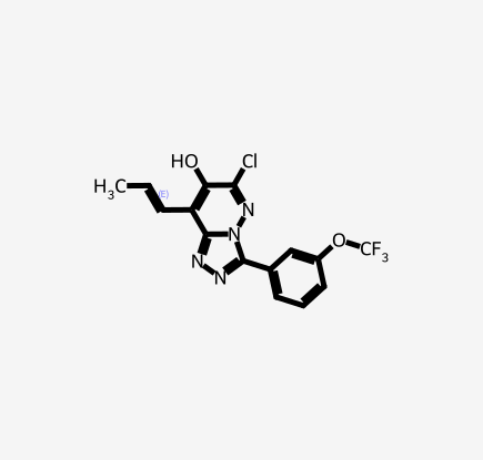 C/C=C/c1c(O)c(Cl)nn2c(-c3cccc(OC(F)(F)F)c3)nnc12